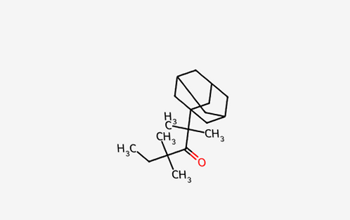 CCC(C)(C)C(=O)C(C)(C)C12CC3CC(CC(C3)C1)C2